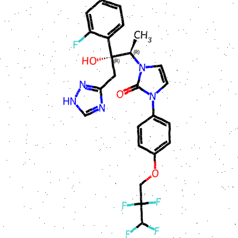 C[C@@H](n1ccn(-c2ccc(OCC(F)(F)C(F)F)cc2)c1=O)[C@@](O)(Cc1nc[nH]n1)c1ccccc1F